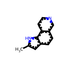 Cc1cc2ccc3cnccc3c2[nH]1